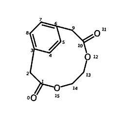 O=C1Cc2ccc(cc2)CC(=O)OCCO1